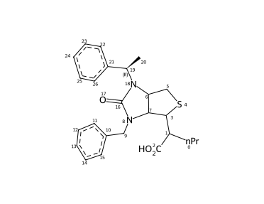 CCCC(C(=O)O)C1SCC2C1N(Cc1ccccc1)C(=O)N2[C@H](C)c1ccccc1